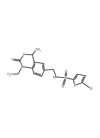 CC1OC(=O)N(CC(F)(F)F)c2ccc(CNS(=O)(=O)c3ccc(Cl)s3)cc21